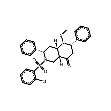 O=C1C[C@@H](c2ccccc2)N(SI)[C@H]2C[C@@H](c3ccccc3)N(S(=O)(=O)c3ccccc3Cl)C[C@@H]12